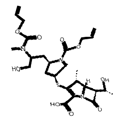 C=CCOC(=O)N(C)C(CO)C[C@@H]1C[C@H](SC2=C(C(=O)O)N3C(=O)[C@H]([C@@H](C)O)[C@H]3[C@H]2C)CN1C(=O)OCC=C